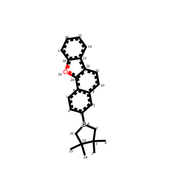 CC1(C)CB(c2ccc3c(ccc4c5ccccc5oc34)c2)CC1(C)C